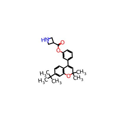 CC1(C)C=C(c2cccc(OC(=O)C3CNC3)c2)c2ccc(C(C)(C)C)cc2O1